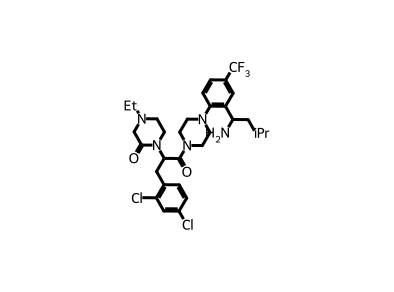 CCN1CCN(C(Cc2ccc(Cl)cc2Cl)C(=O)N2CCN(c3ccc(C(F)(F)F)cc3C(N)CC(C)C)CC2)C(=O)C1